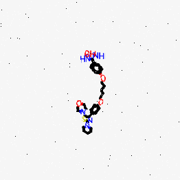 N=C(NO)c1ccc(OCCCCCOc2ccc(-c3nc(N4CCCCC4)sc3N3CCOCC3)cc2)cc1